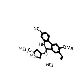 C=Cc1cc2c(cc1OC)-c1ccc(C#N)cc1NC2O[C@H]1CN[C@H](C(=O)O)C1.Cl